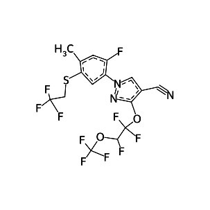 Cc1cc(F)c(-n2cc(C#N)c(OC(F)(F)C(F)OC(F)(F)F)n2)cc1SCC(F)(F)F